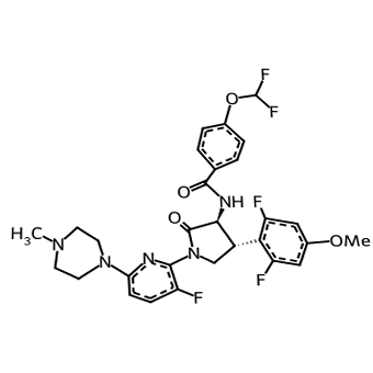 COc1cc(F)c([C@@H]2CN(c3nc(N4CCN(C)CC4)ccc3F)C(=O)[C@H]2NC(=O)c2ccc(OC(F)F)cc2)c(F)c1